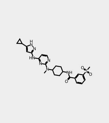 CN(c1nccc(Nc2cc(C3CC3)[nH]n2)n1)C1CCC(NC(=O)c2cccc(S(C)(=O)=O)c2)CC1